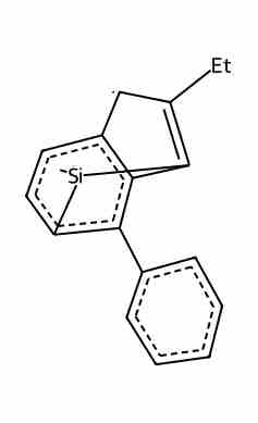 CCC1=C2c3c(ccc(c3-c3ccccc3)[Si]2(C)C)[CH]1